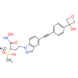 C[C@@](CCn1ncc2cc(C#Cc3ccc(C4(O)COC4)cc3)ccc21)(C(=O)NO)S(C)(=O)=O